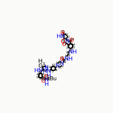 Cc1cnc(Nc2ccc(N3CCN(CC(=O)NCCCNc4ccc5c(c4)C(=O)N(C4CCC(=O)NC4=O)C5=O)CC3)cc2)nc1Nc1cccc(S(=O)(=O)NC(C)(C)C)c1